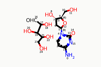 Nc1ccn([C@H]2C[C@H](O)[C@@H](CO)O2)c(=O)n1.O=CC(O)C(O)C(O)CO